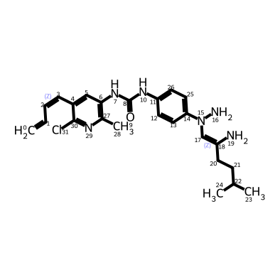 C=C/C=C\c1cc(NC(=O)Nc2ccc(N(N)/C=C(\N)CCC(C)C)cc2)c(C)nc1Cl